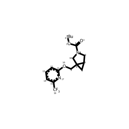 CC(C)(C)OC(=O)N1CC2CC2(COc2cccc(C(F)(F)F)n2)C1